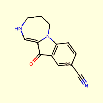 N#Cc1ccc2c(c1)C(=O)C1=CNCCCN12